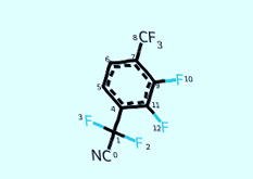 N#CC(F)(F)c1ccc(C(F)(F)F)c(F)c1F